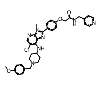 COc1ccc(CN2CCC(Nc3c(Cl)cnc4[nH]c(-c5ccc(OCC(=O)NCc6ccncc6)cc5)nc34)CC2)cc1